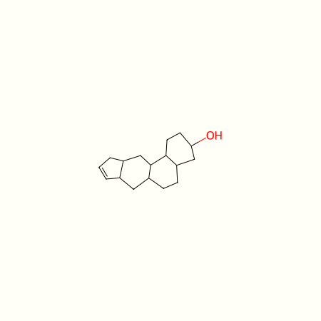 OC1CCC2C(CCC3CC4C=CCC4CC32)C1